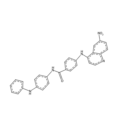 O=C(Nc1ccc(Nc2ccccc2)cc1)c1ccc(Nc2ccnc3ccc([N+](=O)[O-])cc23)cc1